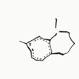 CN1CCCc2ccc(C(=O)O)cc21